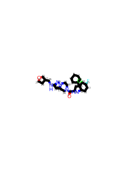 O=C(C1CC2(C3CCCCC3)C(CCC(F)C2Cl)N1)N1CCn2nc(NCC3CCOC3)cc2C1